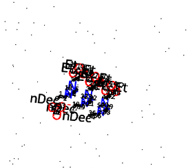 CCCCCCCCCCCC[n+]1ccn(CC[Si](OCC)(OCC)OCC)c1.CCCCCCCCCCCC[n+]1ccn(CC[Si](OCC)(OCC)OCC)c1.CCCCCCCCCCCC[n+]1ccn(CC[Si](OCC)(OCC)OCC)c1.[O-]B([O-])[O-]